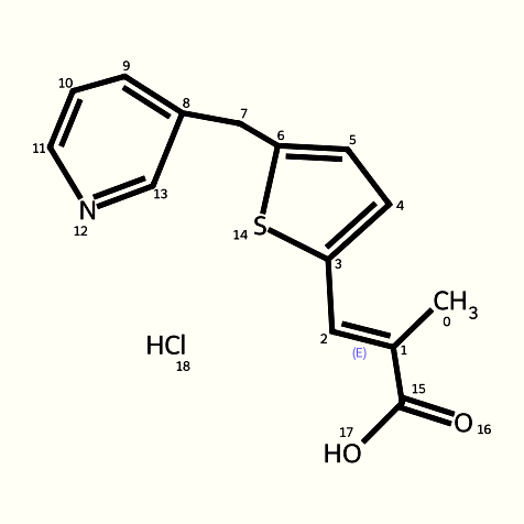 C/C(=C\c1ccc(Cc2cccnc2)s1)C(=O)O.Cl